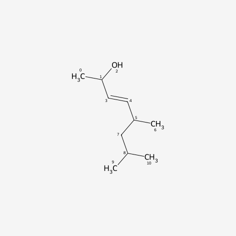 CC(O)C=CC(C)CC(C)C